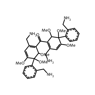 COC1=CC(CN)=C(C(=O)C2=C(CN)C=C(OC)C(OC)(c3ccccc3CN)C2OC)C(OC)C1(OC)c1ccccc1CN